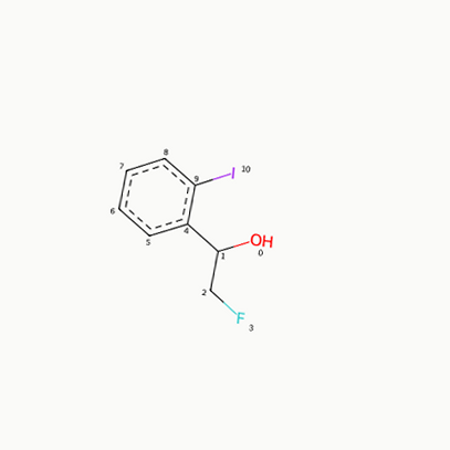 OC(CF)c1ccccc1I